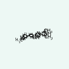 C[C@@H]1CN(c2ncc(-c3ccc(-c4ccc5nn(C)cc5c4)cc3O)nn2)C[C@H](C)N1